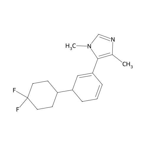 Cc1ncn(C)c1C1=CC(C2CCC(F)(F)CC2)CC=C1